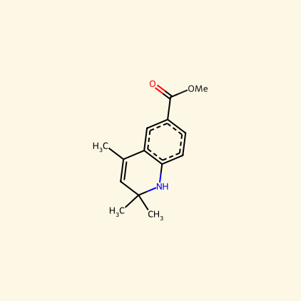 COC(=O)c1ccc2c(c1)C(C)=CC(C)(C)N2